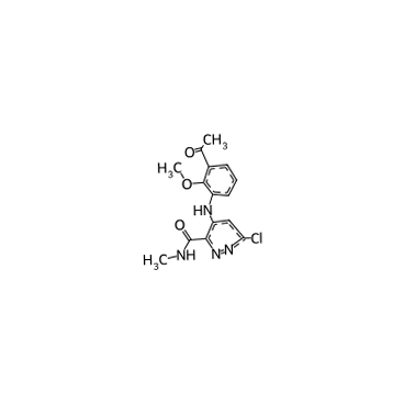 CNC(=O)c1nnc(Cl)cc1Nc1cccc(C(C)=O)c1OC